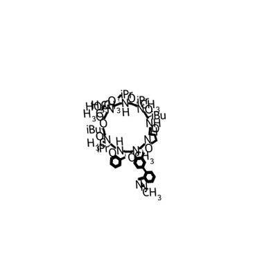 CC[C@H](C)C1NC(=O)[C@@H]2CCCN2C(=O)[C@H](Cc2cccc(-c3cccc4c3cnn4C)c2)N(C)C(=O)[C@H](Cc2ccccc2)NC(=O)[C@H](C(C)C)N(C)C(=O)[C@@H]([C@@H](C)CC)OC(=O)[C@H](C(C)(C)O)N(C)C(=O)[C@H](CC(C)C)NC(=O)[C@H](C(C)C)N(C)C1=O